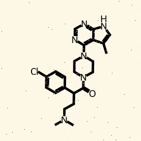 Cc1c[nH]c2ncnc(N3CCN(C(=O)C(CCN(C)C)c4ccc(Cl)cc4)CC3)c12